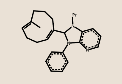 C/C1=C\CC/C=C(/C2N(c3ccccc3)c3ncccc3N2C(C)C)CCC1